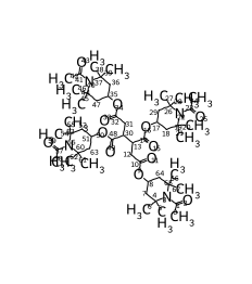 CC(=O)N1C(C)(C)CC(OC(=O)CC(C(=O)OC2CC(C)(C)N(C(C)=O)C(C)(C)C2)C(CC(=O)OC2CC(C)(C)N(C(C)=O)C(C)(C)C2)C(=O)OC2CC(C)(C)N(C(C)=O)C(C)(C)C2)CC1(C)C